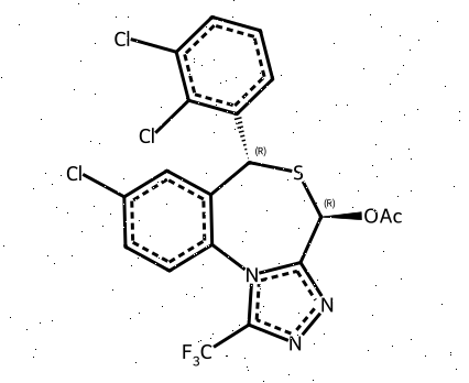 CC(=O)O[C@@H]1S[C@@H](c2cccc(Cl)c2Cl)c2cc(Cl)ccc2-n2c1nnc2C(F)(F)F